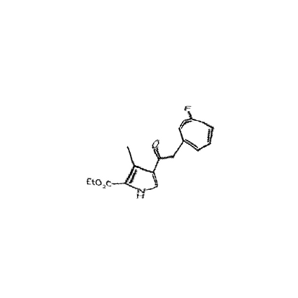 CCOC(=O)c1[nH]cc(C(=O)Cc2cccc(F)c2)c1C